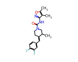 Cc1onc(NC(=O)N2CCC(=Cc3ccc(F)c(F)c3)C(C)C2)c1C